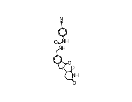 N#Cc1ccc(NC(=O)NCc2ccc3c(c2)C(=O)N(C2CCC(=O)NC2=O)C3)cc1